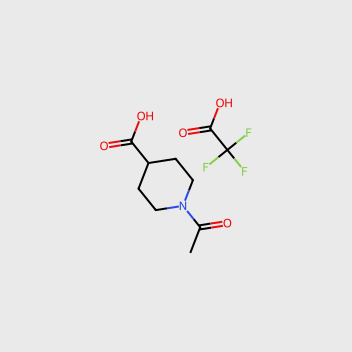 CC(=O)N1CCC(C(=O)O)CC1.O=C(O)C(F)(F)F